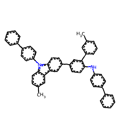 Cc1cccc(-c2cc(-c3ccc4c(c3)c3cc(C)ccc3n4-c3ccc(-c4ccccc4)cc3)ccc2Nc2ccc(-c3ccccc3)cc2)c1